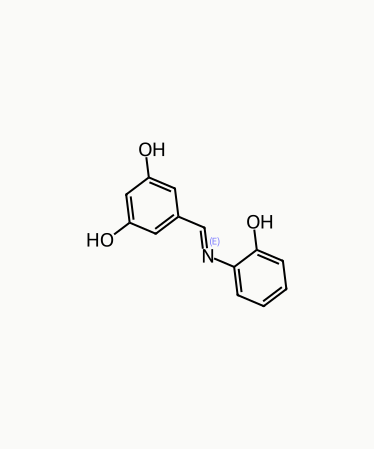 Oc1cc(O)cc(/C=N/c2ccccc2O)c1